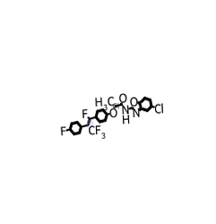 C[C@@H](Oc1ccc(/C(F)=C(/c2ccc(F)cc2)C(F)(F)F)cc1)C(=O)Nc1nc2cc(Cl)ccc2o1